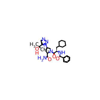 CC(C)(O)c1cnnn1C1CC(C(N)=O)N(C(=O)[C@@H](CC2CCCCC2)NC(=O)c2ccccc2)C1